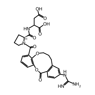 N=C(N)Nc1ccc2c(c1)CCCOc1c(cccc1C(=O)N1CCC[C@H]1C(=O)NC(CC(=O)O)C(=O)O)OC2=O